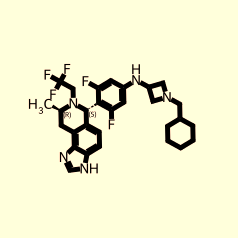 C[C@@H]1Cc2c(ccc3[nH]cnc23)[C@@H](c2c(F)cc(NC3CN(CC4CCCCC4)C3)cc2F)N1CC(F)(F)F